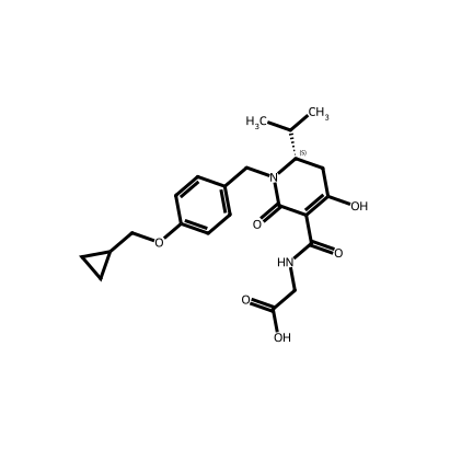 CC(C)[C@@H]1CC(O)=C(C(=O)NCC(=O)O)C(=O)N1Cc1ccc(OCC2CC2)cc1